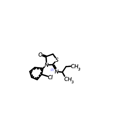 CCC(C)/N=C1\SCC(=O)N1c1ccccc1Cl